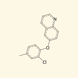 Cc1ccc(Oc2ccc3ncccc3c2)c(Cl)c1